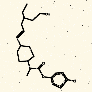 CCN(C/C=C/C1CCC(N(C)C(=O)Oc2ccc(Cl)cc2)CC1)CCO